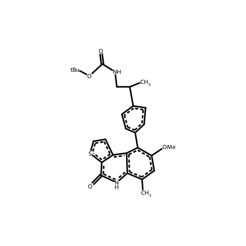 COc1cc(C)c2[nH]c(=O)c3sccc3c2c1-c1ccc(C(C)CNC(=O)OC(C)(C)C)cc1